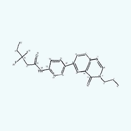 CCCn1cnc2ccc(-c3ccc(NC(=O)CC(F)(F)CC)nc3)cc2c1=O